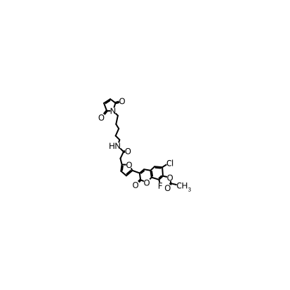 CC(=O)Oc1c(Cl)cc2cc(-c3ccc(CC(=O)NCCCCCN4C(=O)C=CC4=O)o3)c(=O)oc2c1F